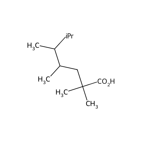 CC(C)C(C)C(C)CC(C)(C)C(=O)O